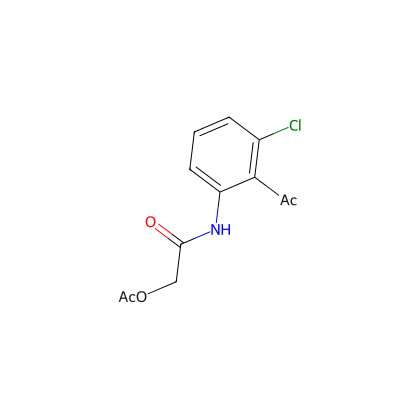 CC(=O)OCC(=O)Nc1cccc(Cl)c1C(C)=O